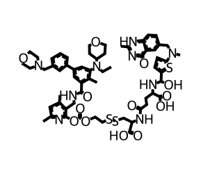 CCN(c1cc(-c2cccc(CN3CCOCC3)c2)cc(C(=O)NCc2c(C)cc(C)nc2OC(=O)OCCSSCC(NC(=O)CCC(NC(O)c2ccc(N(C)Cc3ccc4[nH]c(C)nc(=O)c4c3)s2)C(=O)O)C(=O)O)c1C)C1CCOCC1